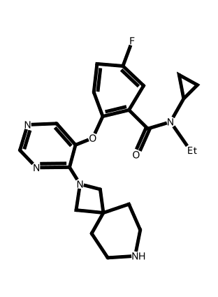 CCN(C(=O)c1cc(F)ccc1Oc1cncnc1N1CC2(CCNCC2)C1)C1CC1